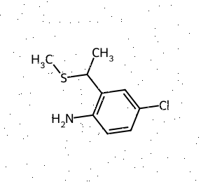 CSC(C)c1cc(Cl)ccc1N